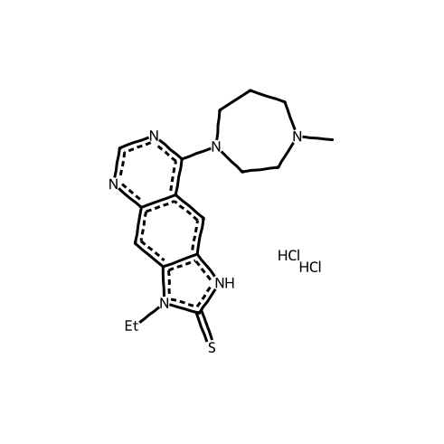 CCn1c(=S)[nH]c2cc3c(N4CCCN(C)CC4)ncnc3cc21.Cl.Cl